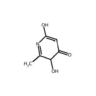 CC1=NC(O)=CC(=O)C1O